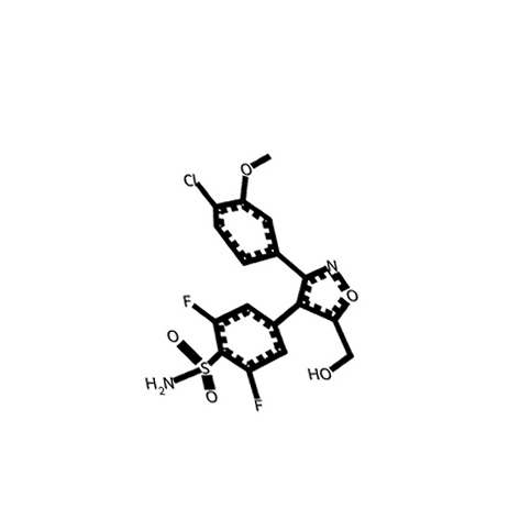 COc1cc(-c2noc(CO)c2-c2cc(F)c(S(N)(=O)=O)c(F)c2)ccc1Cl